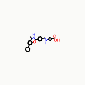 CC(NC(=O)c1ccc(CNC2CC(C(=O)O)C2)cc1)c1ccc(C2CCCCC2)cc1